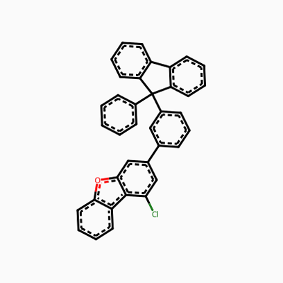 Clc1cc(-c2cccc(C3(c4ccccc4)c4ccccc4-c4ccccc43)c2)cc2oc3ccccc3c12